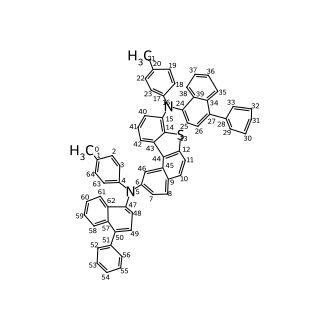 Cc1ccc(N(c2ccc3ccc4sc5c(N(c6ccc(C)cc6)c6ccc(-c7ccccc7)c7ccccc67)cccc5c4c3c2)c2ccc(-c3ccccc3)c3ccccc23)cc1